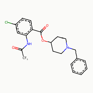 O=C(OC1CCN(Cc2ccccc2)CC1)c1ccc(Cl)cc1NC(=O)C(F)(F)F